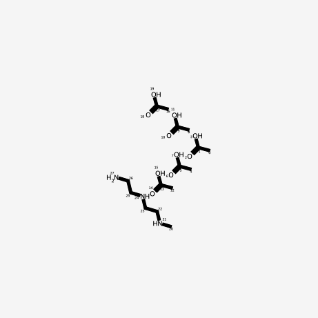 CC(=O)O.CC(=O)O.CC(=O)O.CC(=O)O.CC(=O)O.CNCCNCCN